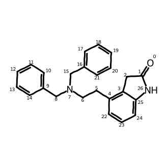 O=C1Cc2c(CCN(Cc3ccccc3)Cc3ccccc3)cccc2N1